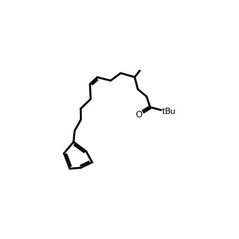 CC(CC/C=C\CCCCc1ccccc1)CCC(=O)C(C)(C)C